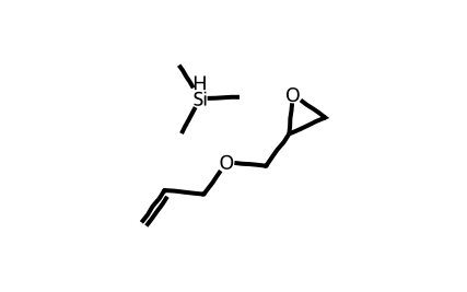 C=CCOCC1CO1.C[SiH](C)C